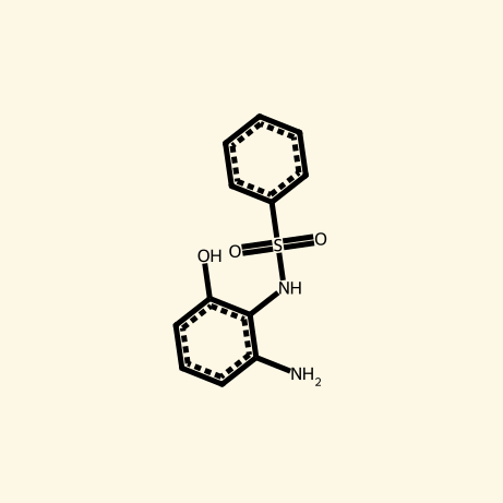 Nc1cccc(O)c1NS(=O)(=O)c1ccccc1